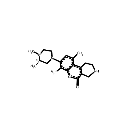 Cc1c(N2CCN(C)[C@@H](C)C2)cc(C)c2c3c(c(=O)oc12)CNCC3